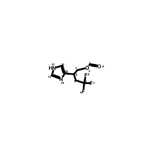 O=COCC(CC(F)(F)F)c1c[nH]cn1